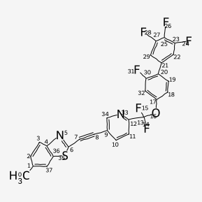 Cc1ccc2nc(C#Cc3ccc(C(F)(F)Oc4ccc(-c5cc(F)c(F)c(F)c5)c(F)c4)nc3)sc2c1